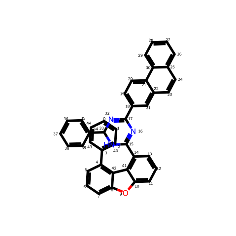 c1ccc(-c2cccc3oc4cccc(C5=NC(c6ccc7c(ccc8ccccc87)c6)=NC(c6ccccc6)N5)c4c23)cc1